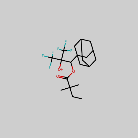 CCC(C)(C)C(=O)OC(C12CC3CC(CC(C3)C1)C2)C(O)(C(F)(F)F)C(F)(F)F